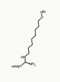 CCCCCCCC(N)NCCCCCCCCOCCCC